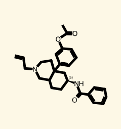 C=CCN1CCC2(c3cccc(OC(C)=O)c3)C[C@@H](NC(=O)c3ccccc3)CCC2C1